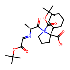 C[C@H](N=CC(=O)OC(C)(C)C)C(=O)[N+]1(C(=O)OC(C)(C)C)CCC[C@]1(C(=O)O)C1CCCCC1